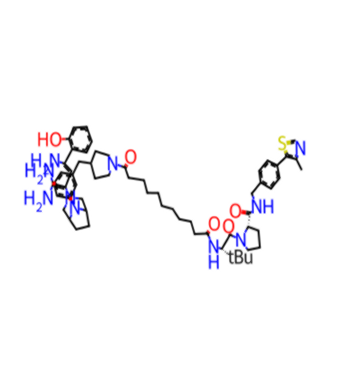 Cc1ncsc1-c1ccc(CNC(=O)[C@@H]2CCCN2C(=O)[C@@H](NC(=O)CCCCCCCCCC(=O)N2CCC(Cc3cccc(N4C5CCC4CN(C(/C=C(\N)c4ccccc4O)=C(N)N)C5)c3)CC2)C(C)(C)C)cc1